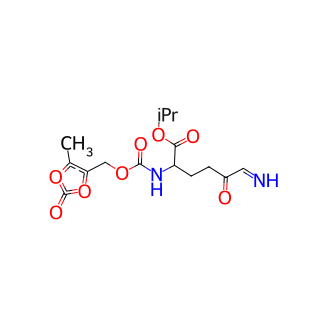 Cc1oc(=O)oc1COC(=O)NC(CCC(=O)C=N)C(=O)OC(C)C